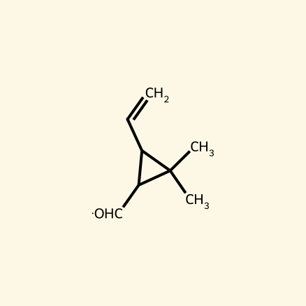 C=CC1C([C]=O)C1(C)C